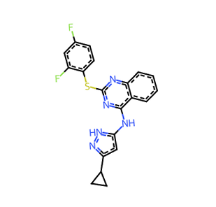 Fc1ccc(Sc2nc(Nc3cc(C4CC4)n[nH]3)c3ccccc3n2)c(F)c1